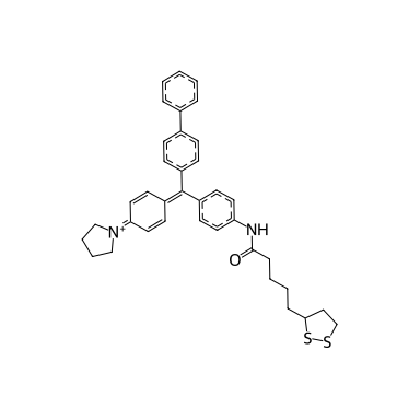 O=C(CCCCC1CCSS1)Nc1ccc(C(=C2C=CC(=[N+]3CCCC3)C=C2)c2ccc(-c3ccccc3)cc2)cc1